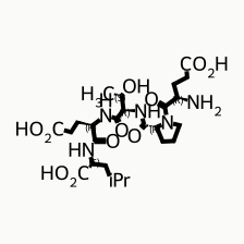 CC(C)C[C@H](NC(=O)[C@@H](CCC(=O)O)NC(=O)[C@H](NC(=O)[C@H]1CCCN1C(=O)[C@H](N)CCC(=O)O)[C@H](C)O)C(=O)O